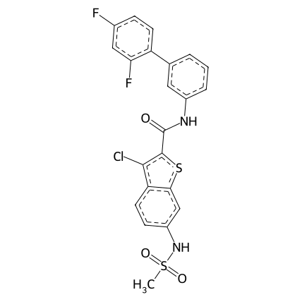 CS(=O)(=O)Nc1ccc2c(Cl)c(C(=O)Nc3cccc(-c4ccc(F)cc4F)c3)sc2c1